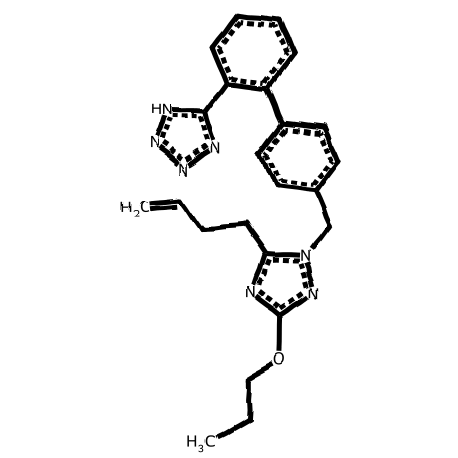 C=CCCc1nc(OCCC)nn1Cc1ccc(-c2ccccc2-c2nnn[nH]2)cc1